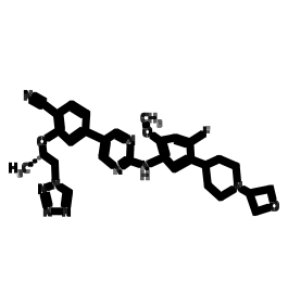 COc1cc(F)c(C2CCN(C3COC3)CC2)cc1Nc1ncc(-c2ccc(C#N)c(O[C@@H](C)Cn3cnnn3)c2)cn1